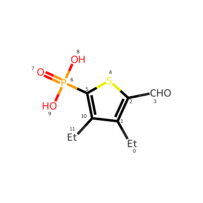 CCc1c(C=O)sc(P(=O)(O)O)c1CC